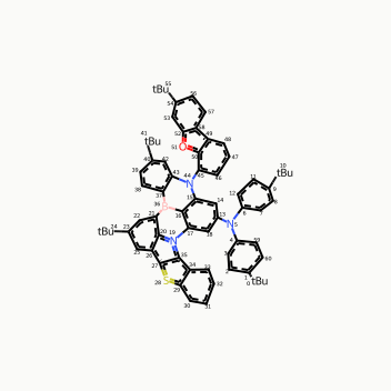 CC(C)(C)c1ccc(N(c2ccc(C(C)(C)C)cc2)c2cc3c4c(c2)-n2c5c(cc(C(C)(C)C)cc5c5sc6ccccc6c52)B4c2ccc(C(C)(C)C)cc2N3c2cccc3c2oc2cc(C(C)(C)C)ccc23)cc1